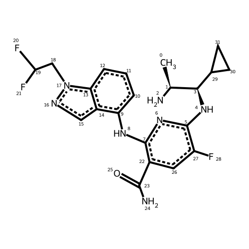 C[C@H](N)[C@H](Nc1nc(Nc2cccc3c2cnn3CC(F)F)c(C(N)=O)cc1F)C1CC1